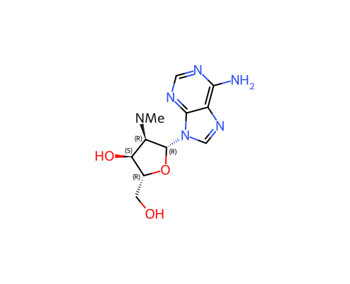 CN[C@@H]1[C@H](O)[C@@H](CO)O[C@H]1n1cnc2c(N)ncnc21